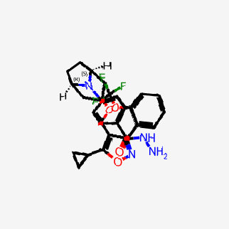 NNC(=O)c1ccc(N2[C@@H]3CC[C@H]2CC(OCc2c(-c4ccccc4OC(F)(F)F)noc2C2CC2)C3)cc1